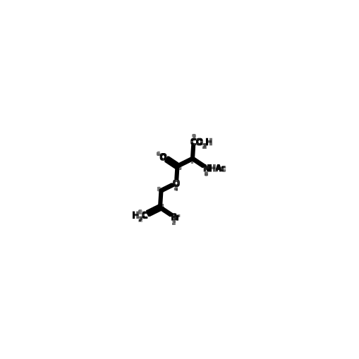 C=C(Br)COC(=O)C(NC(C)=O)C(=O)O